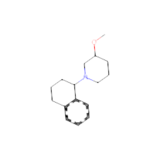 COC1CCCN(C2CCCc3ccccc32)C1